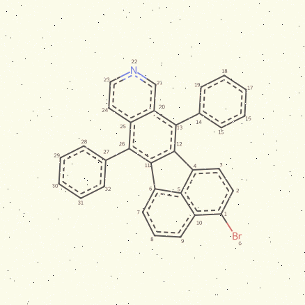 Brc1ccc2c3c(cccc13)-c1c-2c(-c2ccccc2)c2cnccc2c1-c1ccccc1